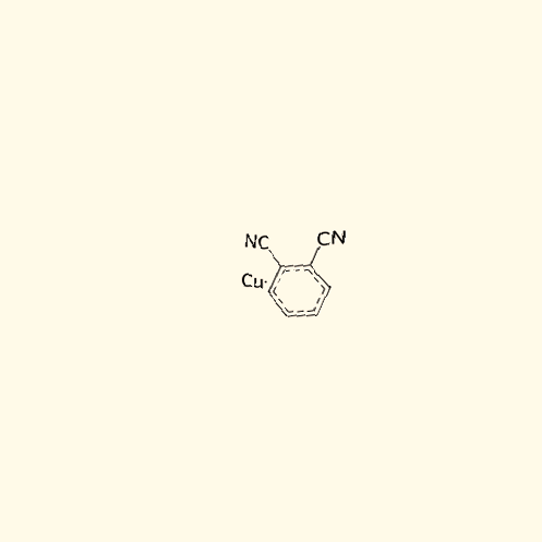 N#Cc1ccccc1C#N.[Cu]